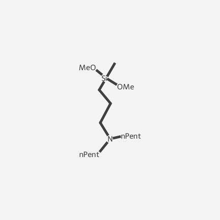 CCCCCN(CCCCC)CCC[Si](C)(OC)OC